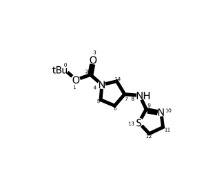 CC(C)(C)OC(=O)N1CCC(NC2=NCCS2)C1